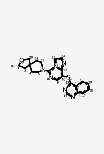 C[C@H]1CC2(CCN(c3ncc(Sc4ncnc5ccccc45)c4nccn34)CC2)CO1